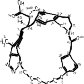 Cc1c2ccc3c1nnn3CCCCCOc1ccc(cc1)C(=O)N1CCc3ccc(cc3C1)[C@@H]2[C@@H](C)C(=O)O